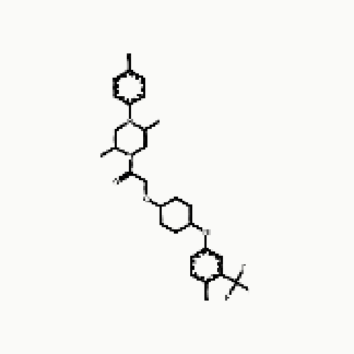 Cc1ccc(N2CC(C)N(C(=O)COC3CCC(Nc4ccc(C)c(C(F)(F)F)c4)CC3)CC2C)cc1